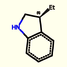 CC[C@@H]1CNc2ccccc21